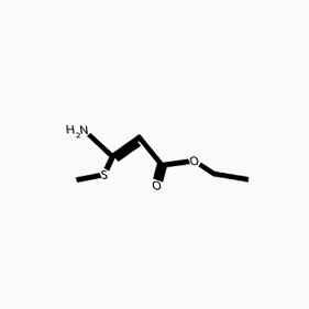 CCOC(=O)C=C(N)SC